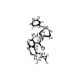 Cc1oc2ncnc(NC3(C)CC3)c2c1C(=O)N1CCOC(c2ccncc2)C1